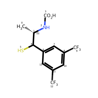 C[C@H](NC(=O)O)C(S)c1cc(C(F)(F)F)cc(C(F)(F)F)c1